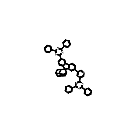 c1ccc(-c2nc(-c3ccccc3)nc(-c3cncc(-c4ccc5c(c4)C4(c6ccc(-c7nc(-c8ccccc8)nc(-c8ccccc8)n7)cc6-5)C5CC6CC(C5)CC4C6)c3)n2)cc1